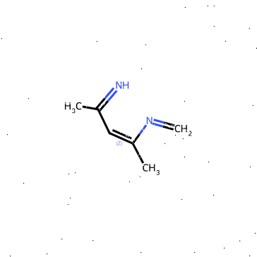 C=N/C(C)=C\C(C)=N